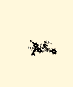 CO[C@@H]1C[C@H](C(=O)Nc2cc(C(N)(CCC3CC3)c3cccc(C#N)c3)ccc2F)N(C(=O)OCc2ccccc2)C1